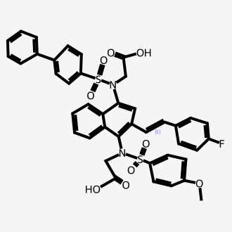 COc1ccc(S(=O)(=O)N(CC(=O)O)c2c(/C=C/c3ccc(F)cc3)cc(N(CC(=O)O)S(=O)(=O)c3ccc(-c4ccccc4)cc3)c3ccccc23)cc1